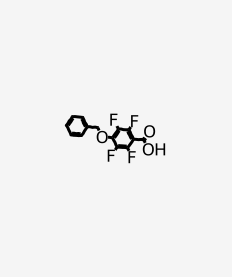 O=C(O)c1c(F)c(F)c(OCc2ccccc2)c(F)c1F